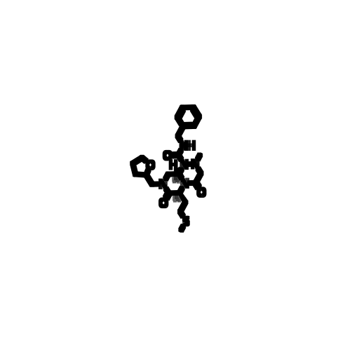 CSCC[C@H]1C(=O)N(CC2CCCO2)C[C@H]2N1C(=O)CN(C)N2C(=O)NCc1ccccc1